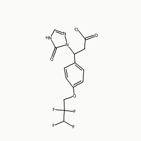 O=C(Cl)CC(c1ccc(OCC(F)(F)C(F)F)cc1)n1nc[nH]c1=O